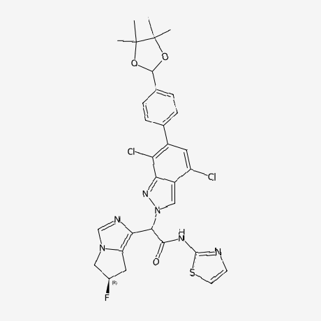 CC1(C)OC(c2ccc(-c3cc(Cl)c4cn(C(C(=O)Nc5nccs5)c5ncn6c5C[C@@H](F)C6)nc4c3Cl)cc2)OC1(C)C